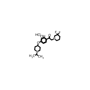 CC(C)N1CCC(Oc2ccc(C(=O)CN3CCCC(F)(F)C3)cc2)CC1.Cl.Cl